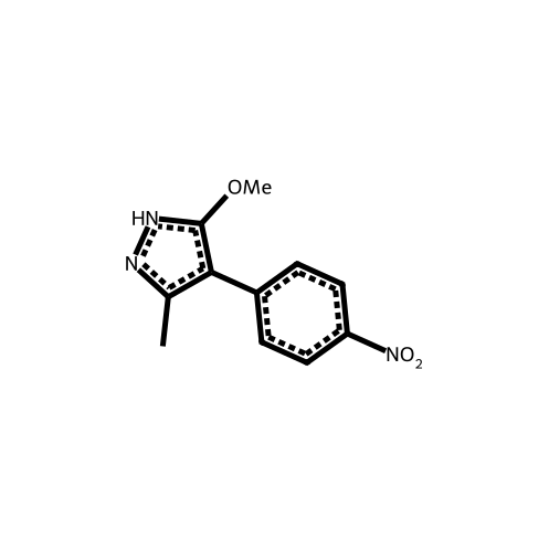 COc1[nH]nc(C)c1-c1ccc([N+](=O)[O-])cc1